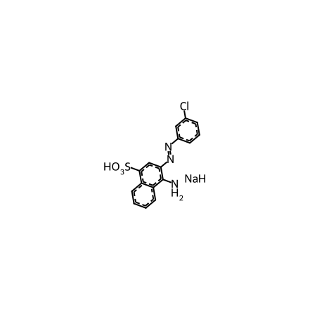 Nc1c(N=Nc2cccc(Cl)c2)cc(S(=O)(=O)O)c2ccccc12.[NaH]